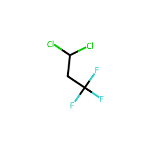 FC(F)(F)CC(Cl)Cl